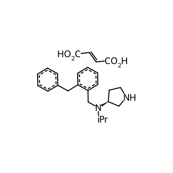 CC(C)N(Cc1ccccc1Cc1ccccc1)[C@H]1CCNC1.O=C(O)C=CC(=O)O